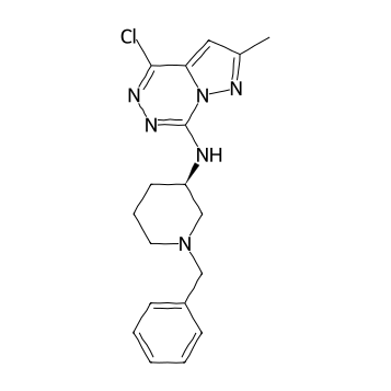 Cc1cc2c(Cl)nnc(N[C@@H]3CCCN(Cc4ccccc4)C3)n2n1